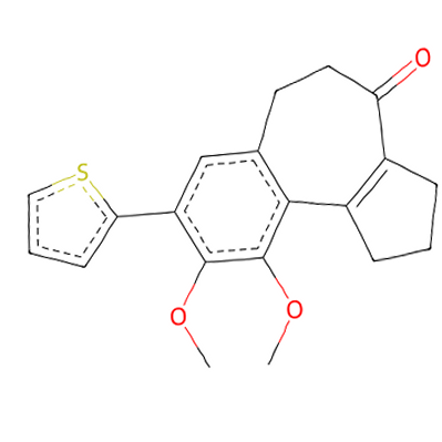 COc1c(-c2cccs2)cc2c(c1OC)C1=C(CCC1)C(=O)CC2